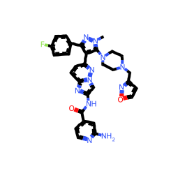 Cn1nc(-c2ccc(F)cc2)c(-c2ccc3nc(NC(=O)c4ccnc(N)c4)cn3n2)c1N1CCN(Cc2ccon2)CC1